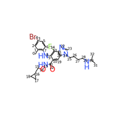 Cc1cc(Br)ccc1Nc1c(C(=O)NOCC2CC2)cc2c(ncn2CCCCNC(C)C)c1F